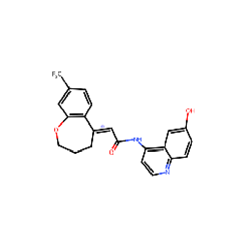 O=C(/C=C1\CCCOc2cc(C(F)(F)F)ccc21)Nc1ccnc2ccc(O)cc12